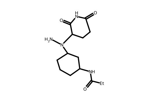 CCC(=O)NC1CCCC(N(N)C2CCC(=O)NC2=O)C1